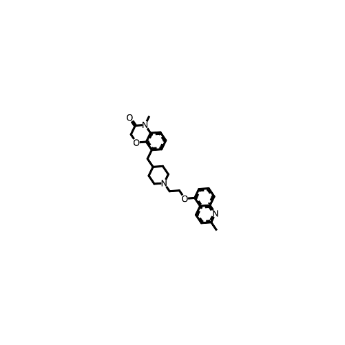 Cc1ccc2c(OCCN3CCC(Cc4cccc5c4OCC(=O)N5C)CC3)cccc2n1